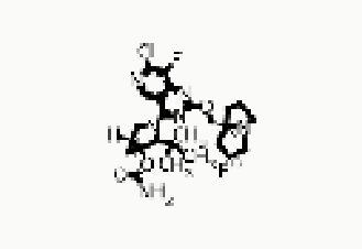 CC(C)(C)C1N(c2nc(OC[C@@]34CCCN3C[C@H](F)C4)nc3c(F)c(Cl)ncc23)C[C@H]2C[C@@]12OC(N)=O